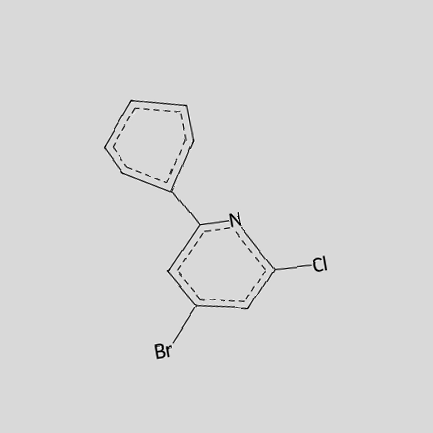 Clc1cc(Br)cc(-c2ccccc2)n1